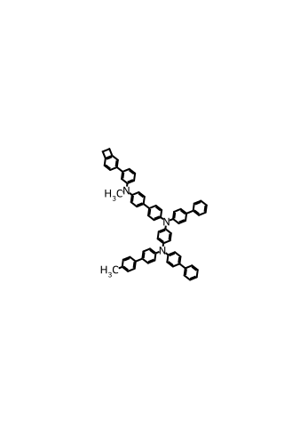 Cc1ccc(-c2ccc(N(c3ccc(-c4ccccc4)cc3)c3ccc(N(c4ccc(-c5ccccc5)cc4)c4ccc(-c5ccc(N(C)c6cccc(-c7ccc8c(c7)CC8)c6)cc5)cc4)cc3)cc2)cc1